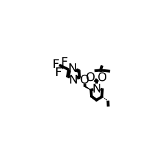 CC[C@@H]1CC[C@@H](COc2cnc(C(F)(F)F)cn2)N(C(=O)OC(C)(C)C)C1